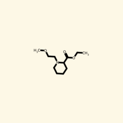 CCOC(=O)C1CCCCN1CCOC